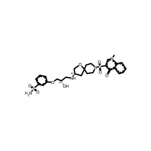 Cn1cc(S(=O)(=O)N2CCC3(CC2)C[C@@H](NC[C@H](O)COc2cccc(S(N)(=O)=O)c2)CO3)c(=O)c2ccccc21